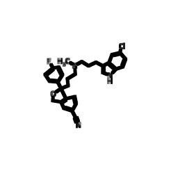 CN(CCCc1c[nH]c2ccc(Cl)cc12)CCCC1(c2ccc(F)cc2)OCc2cc(C#N)ccc21